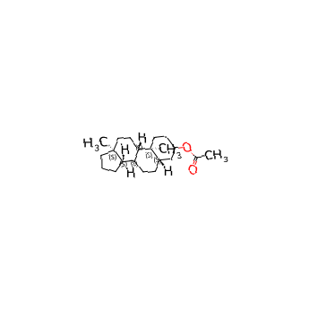 CC(=O)OC1CC[C@@]2(C)[C@@H](CC[C@H]3[C@@H]4CCC[C@@]4(C)CC[C@@H]32)C1